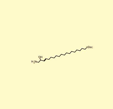 CCCCCCCCCCCCCCCCCCCCCCCCCC=CC(O)CN